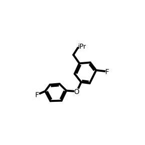 CC(C)Cc1cc(F)cc(Oc2ccc(F)cc2)c1